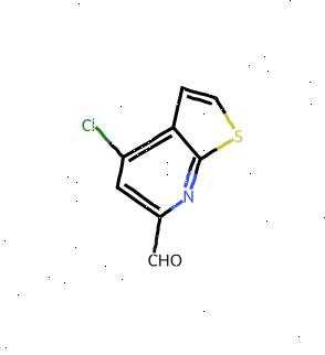 O=Cc1cc(Cl)c2ccsc2n1